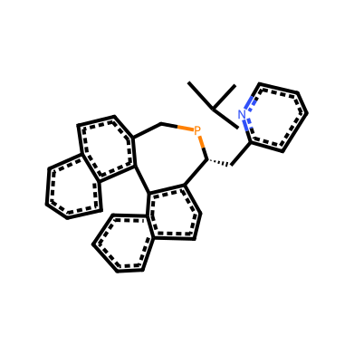 CC(C)(C)[P@]1Cc2ccc3ccccc3c2-c2c(ccc3ccccc23)[C@H]1Cc1ccccn1